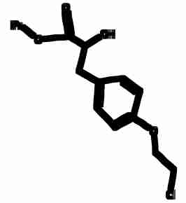 CC(C)OC(=O)C(O)Cc1ccc(OCCCl)cc1